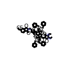 C/C=C1/C(=O)C(=CC2=CC3=C(c4sc5cc(/C=C6\C(=O)C7=CCC(CC(F)(F)F)C=C7C6=O)sc5c4C3(C(=O)OCc3ccccc3)C(=O)OCc3ccccc3)C2(C(=O)OCc2ccccc2)C(=O)OCc2ccccc2)C(=O)/C1=C/C